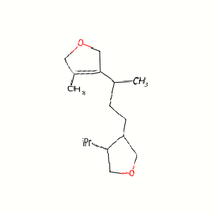 CC1=C(C(C)CCC2COCC2C(C)C)COC1